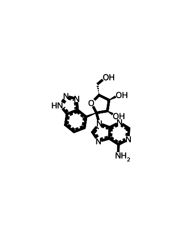 Nc1ncnc2c1ncn2[C@]1(c2cccc3[nH]nnc23)O[C@H](CO)[C@@H](O)[C@H]1O